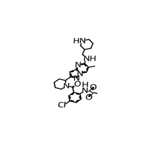 Cc1cn2nc(C3CCCCN3C(=O)c3cc(Cl)ccc3NS(C)(=O)=O)cc2nc1NCC1CCCNC1